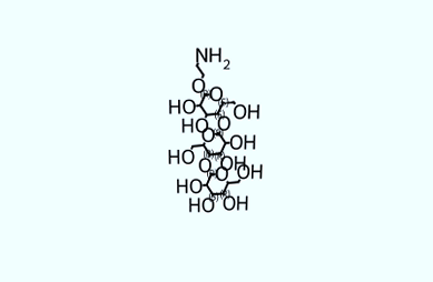 NCCO[C@@H]1O[C@@H](CO)[C@@H](O[C@@H]2OC(CO)[C@H](O[C@H]3OC(CO)[C@H](O)[C@H](O)C3O)[C@H](O)C2O)C(O)C1O